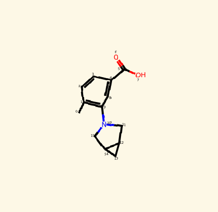 Cc1ccc(C(=O)O)cc1N1CC2CC2C1